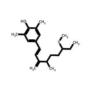 C=C(/C=C/c1cc(C)c(O)c(C)c1)C(C)CCC(CC)SC